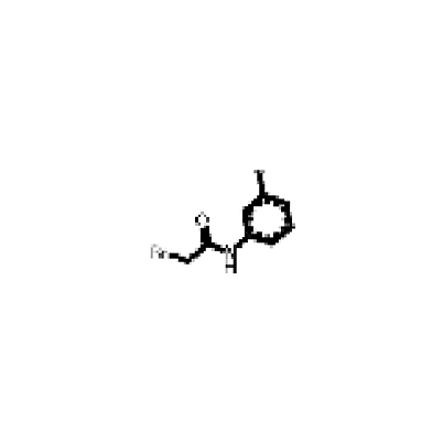 [CH2]c1cccc(NC(=O)CBr)c1